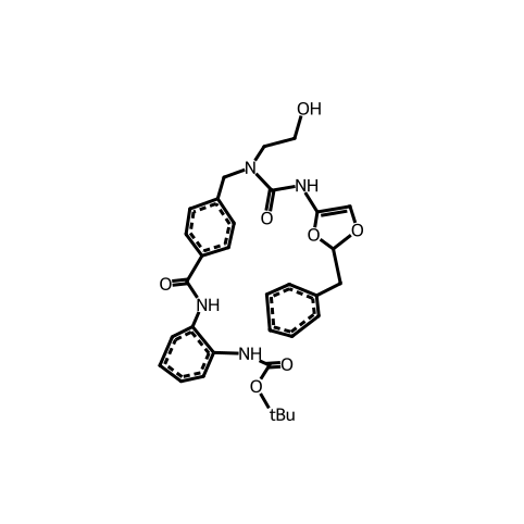 CC(C)(C)OC(=O)Nc1ccccc1NC(=O)c1ccc(CN(CCO)C(=O)NC2=COC(Cc3ccccc3)O2)cc1